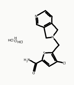 Cl.Cl.Cl.NC(=O)c1cc(Cl)c(CN2Cc3ccncc3C2)s1